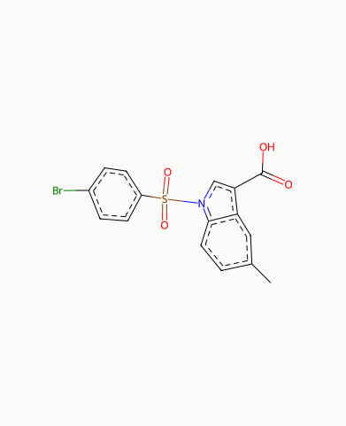 Cc1ccc2c(c1)c(C(=O)O)cn2S(=O)(=O)c1ccc(Br)cc1